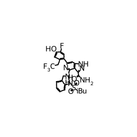 CCC(C)S(=O)(=O)Nc1ccccc1CNc1nc(-c2cc(F)c(O)cc2CC(F)(F)F)cc2[nH]nc(C(N)=O)c12